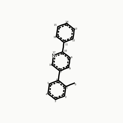 Cc1ccccc1-c1ccc(-c2ccccc2)nc1